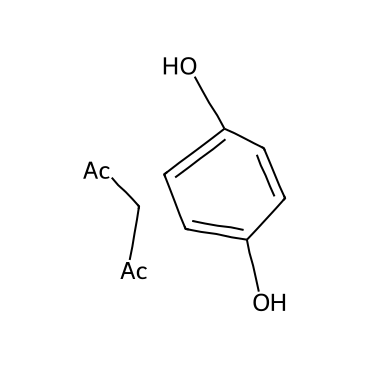 CC(=O)CC(C)=O.Oc1ccc(O)cc1